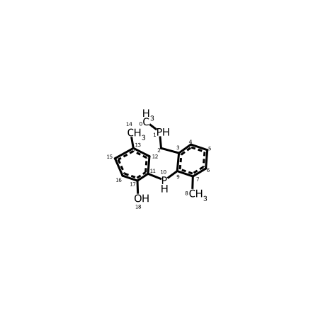 CPCc1cccc(C)c1Pc1cc(C)ccc1O